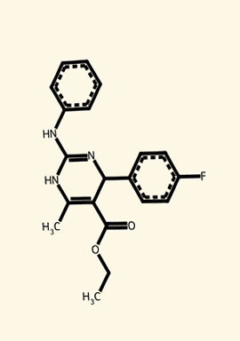 CCOC(=O)C1=C(C)NC(Nc2ccccc2)=NC1c1ccc(F)cc1